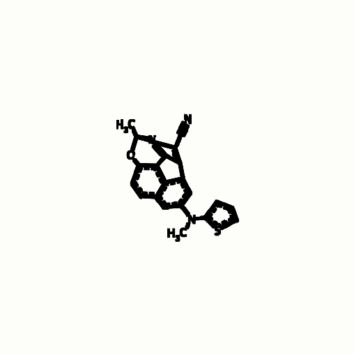 CN(c1cc2c3c4c(ccc3c1)OC1(C)N=C4C2=C1C#N)c1cccs1